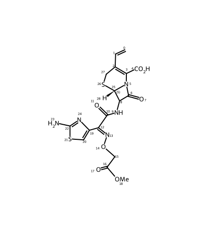 C=CC1=C(C(=O)O)N2C(=O)C(NC(=O)C(=NOCC(=O)OC)c3csc(N)n3)[C@@H]2SC1